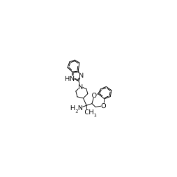 CC(N)(C1CCN(c2nc3ccccc3[nH]2)CC1)C1COc2ccccc2O1